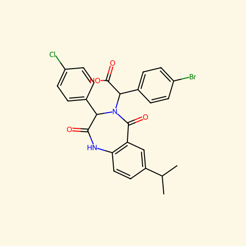 CC(C)c1ccc2c(c1)C(=O)N(C(C(=O)O)c1ccc(Br)cc1)C(c1ccc(Cl)cc1)C(=O)N2